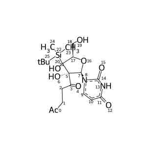 CC(=O)CCC(=O)[C@]1(O)[C@H](n2ccc(=O)[nH]c2=O)O[C@H](CO)[C@]1(O)[Si](C)(C)C(C)(C)C